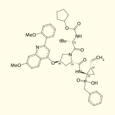 C=C[C@@H]1C[C@]1(NC(=O)[C@@H]1C[C@@H](Oc2cc(-c3ccccc3OC)nc3cc(OC)ccc23)CN1C(=O)[C@@H](NC(=O)OC1CCCC1)C(C)(C)C)P(=O)(O)Cc1ccccc1